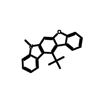 Cn1c2ccccc2c2c(C(C)(C)C)c3c(cc21)oc1ccccc13